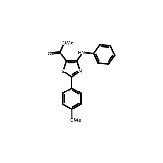 COC(=O)c1sc(-c2ccc(OC)cc2)nc1Nc1ccccc1